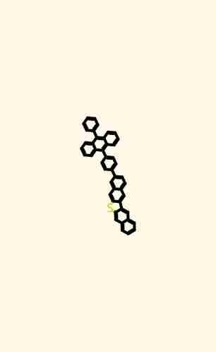 c1ccc(-c2c3ccccc3c(-c3ccc(-c4ccc5cc6c(cc5c4)sc4cc5ccccc5cc46)cc3)c3ccccc23)cc1